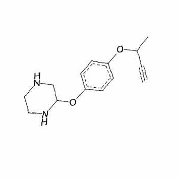 C#CC(C)Oc1ccc(OC2CNCCN2)cc1